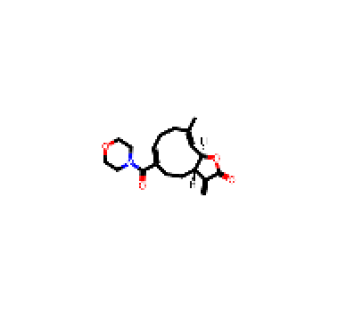 C=C1C(=O)O[C@@H]2/C=C(\C)CC/C=C(/C(=O)N3CCOCC3)CC[C@@H]12